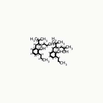 CCCc1cccc(CC(SCC(C)O)C(C)C)c1O.CCCc1cccc(CC(SCCO)C(C)C)c1O